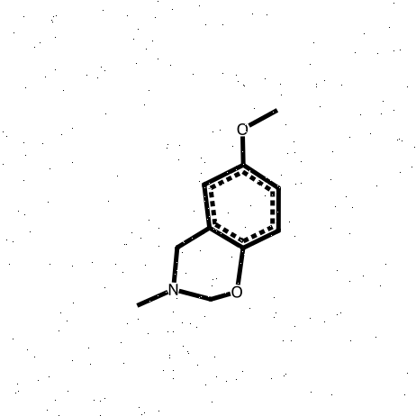 COc1ccc2c(c1)CN(C)CO2